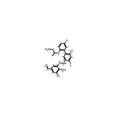 CC(CN)Oc1ccc(F)cc1-c1cc(NSc2cc(C=O)cc(Cl)c2O)c(F)cc1Cl